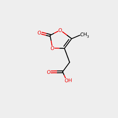 Cc1oc(=O)oc1CC(=O)O